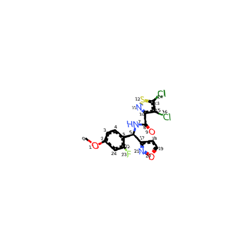 COc1ccc(C(NC(=O)c2nsc(Cl)c2Cl)c2ccon2)c(F)c1